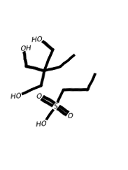 CCC(CO)(CO)CO.CCCS(=O)(=O)O